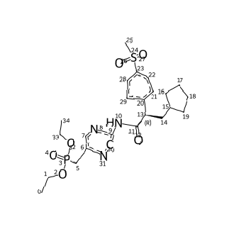 CCOP(=O)(Cc1cnc(NC(=O)[C@H](CC2CCCC2)c2ccc(S(C)(=O)=O)cc2)cn1)OCC